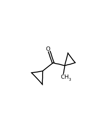 CC1(C(=O)C2CC2)CC1